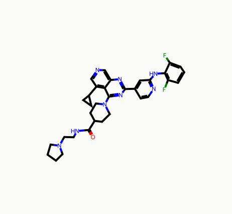 O=C(NCCN1CCCC1)C1CCN(c2nc(-c3ccnc(Nc4c(F)cccc4F)c3)nc3cncc(C4CC4)c23)CC1